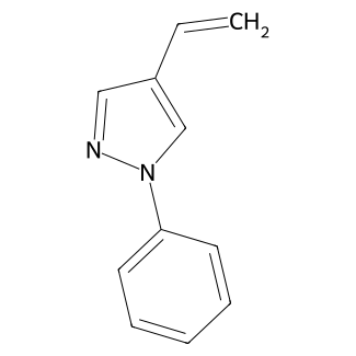 C=Cc1cnn(-c2ccccc2)c1